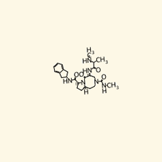 CNC(=O)N1CC[C@H]2CC[C@@H](C(=O)NC3Cc4ccccc4C3)N2C(=O)[C@@H](NC(=O)C(C)NC)C1